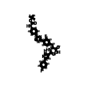 CC(C)(C)OC(=O)Nc1ccc(-c2nc(-c3ccc(CC(NC(=O)c4cc(-c5ccc(F)cc5)n[nH]4)C(=O)O)cc3F)no2)cc1